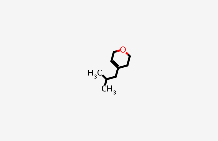 CC(C)CC1=CCOCC1